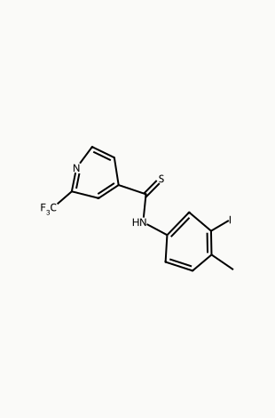 Cc1ccc(NC(=S)c2ccnc(C(F)(F)F)c2)cc1I